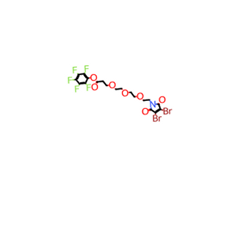 O=C(CCOCCOCCOCCN1C(=O)C(Br)=C(Br)C1=O)Oc1c(F)c(F)c(F)c(F)c1F